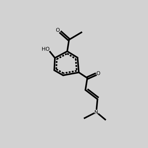 CC(=O)c1cc(C(=O)/C=C/N(C)C)ccc1O